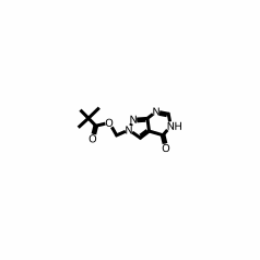 CC(C)(C)C(=O)OCn1cc2c(=O)[nH]cnc2n1